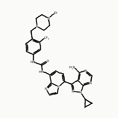 CCN1CCN(Cc2ccc(NC(=O)Nc3ccc(-c4nn(C5CC5)c5ncnc(N)c45)n4ccnc34)cc2C(F)(F)F)CC1